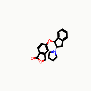 O=C1OCc2cc(O[C@H]3c4ccccc4C[C@@H]3N3CCCC3)ccc21